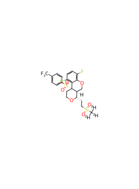 [2H]C([2H])([2H])S(=O)(=O)CC[C@@H]1OCC[C@@]2(S(=O)(=O)c3ccc(C(F)(F)F)cc3)c3c(F)ccc(F)c3OC[C@@H]12